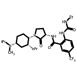 CCC[C@@H]1C[C@H](N(C)C(C)C)CC[C@@H]1N1CC[C@H](NC(=O)c2cc(C(F)(F)F)ccc2NC(=O)NCC)C1=O